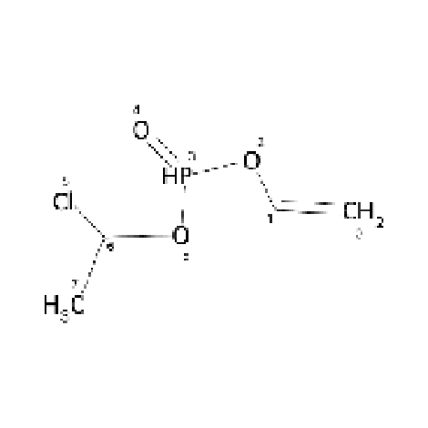 C=CO[PH](=O)OC(C)Cl